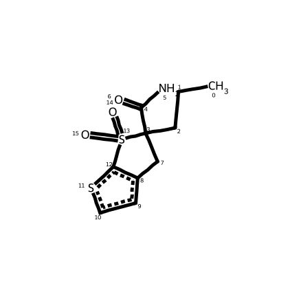 CCCC1(C(N)=O)Cc2ccsc2S1(=O)=O